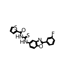 O=C(NC(=S)Nc1ccc2oc(-c3cccc(F)c3)nc2c1)c1cccs1